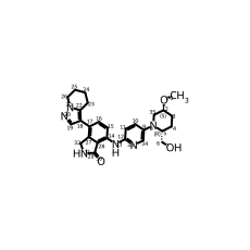 CO[C@H]1CC[C@H](CO)N(c2ccc(Nc3ccc(-c4cnn5c4CCCC5)c4c3C(=O)NC4)nc2)C1